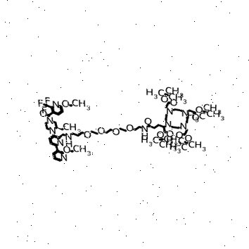 CCOc1ccc(C(=O)N2CCN(c3ccc(-c4cccnc4OCC)nc3CNCCCOCCOCCOCCOCCNC(=O)CCC(C(=O)OC(C)(C)C)N3CCN(CC(=O)OC(C)(C)C)CCN(CC(=O)OC(C)(C)C)CCN(CC(=O)OC(C)(C)C)CC3)[C@H](CC)C2)c(C(F)(F)F)n1